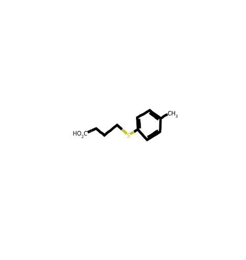 Cc1ccc(SCCCC(=O)O)cc1